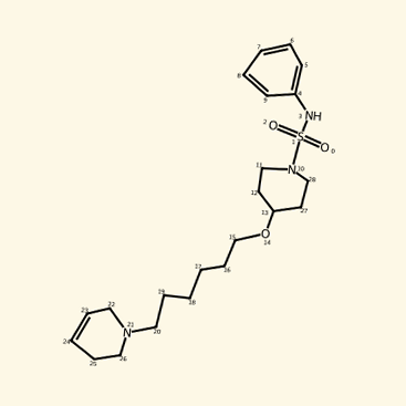 O=S(=O)(Nc1ccccc1)N1CCC(OCCCCCCN2CC=CCC2)CC1